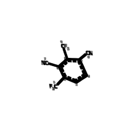 N#Cc1ccc(C(F)(F)F)c(C#N)c1C(F)(F)F